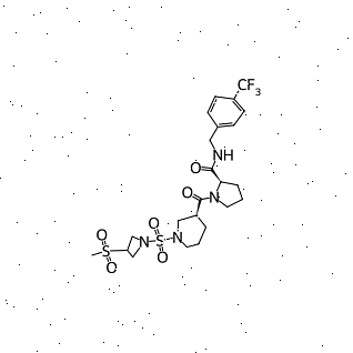 CS(=O)(=O)C1CN(S(=O)(=O)N2CCC[C@H](C(=O)N3CCC[C@@H]3C(=O)NCc3ccc(C(F)(F)F)cc3)C2)C1